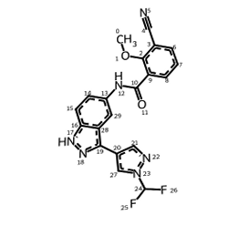 COc1c(C#N)cccc1C(=O)Nc1ccc2[nH]nc(-c3cnn(C(F)F)c3)c2c1